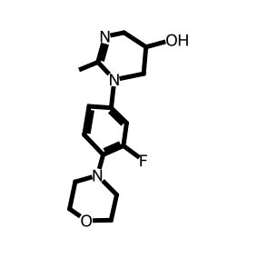 CC1=NCC(O)CN1c1ccc(N2CCOCC2)c(F)c1